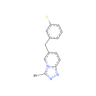 CC(C)c1nnc2ccc(Cc3cccc(F)c3)cn12